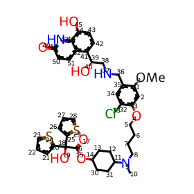 COc1cc(OCCCCN(C)C2CCC(OC(=O)C(O)(c3cccs3)c3cccs3)CC2)c(Cl)cc1CNC[C@@H](O)c1ccc(O)c2[nH]c(=O)ccc12